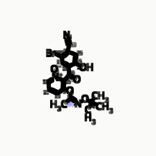 C/C(=N/OC(C)(C)C)Oc1ccc[n+]([O-])c1C(=O)c1cc(Br)c(C#N)cc1O